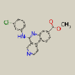 COC(=O)c1ccc2c(c1)nc(Nc1cccc(Cl)c1)c1cnccc12